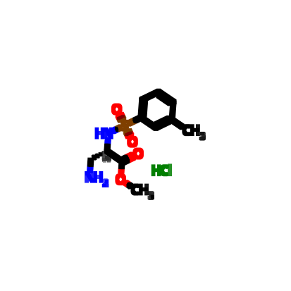 COC(=O)[C@H](CN)NS(=O)(=O)c1cccc(C)c1.Cl